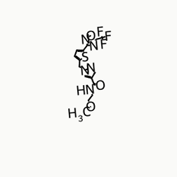 COCCNC(=O)c1cnn(Cc2ccc(-c3noc(C(F)(F)F)n3)s2)c1